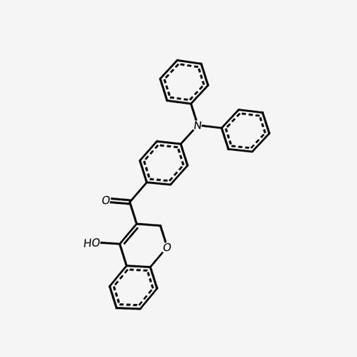 O=C(C1=C(O)c2ccccc2OC1)c1ccc(N(c2ccccc2)c2ccccc2)cc1